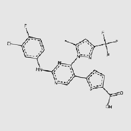 Cc1cc(C(F)(F)F)nn1-c1nc(Nc2ccc(F)c(Cl)c2)ncc1-c1ccc(C(=O)O)s1